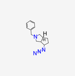 [N-]=[N+]=NC1CC[C@H]2CN(Cc3ccccc3)CC12